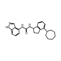 O=C(Nc1cccc2[nH]ncc12)NC1CCc2c1cccc2N1CCCCCC1